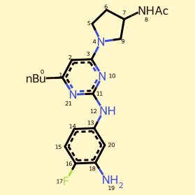 CCCCc1cc(N2CCC(NC(C)=O)C2)nc(Nc2ccc(F)c(N)c2)n1